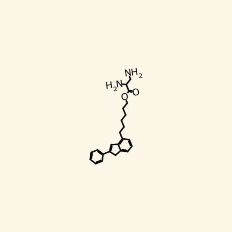 NCC(N)C(=O)OCCCCCCc1cccc2c1C=C(c1ccccc1)C2